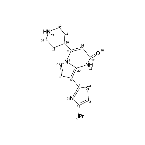 CC(C)c1csc(-c2cnn3c(C4CCNCC4)cc(=O)[nH]c23)n1